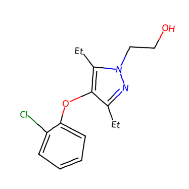 CCc1nn(CCO)c(CC)c1Oc1ccccc1Cl